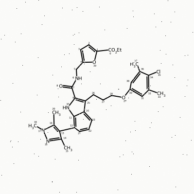 CCOC(=O)c1ccc(CNC(=O)c2[nH]c3c(-c4c(C)nn(C)c4C)cccc3c2CCCOc2cc(C)c(Cl)c(C)c2)o1